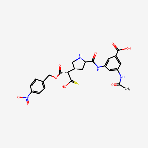 CC(=O)Nc1cc(NC(=O)C2C[C@@H]([C@@H](C(=O)OCc3ccc([N+](=O)[O-])cc3)C(O)=S)CN2)cc(C(=O)O)c1